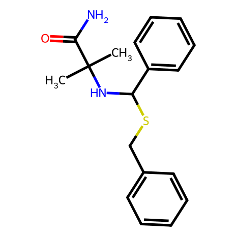 CC(C)(NC(SCc1ccccc1)c1ccccc1)C(N)=O